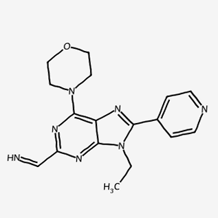 CCn1c(-c2ccncc2)nc2c(N3CCOCC3)nc(C=N)nc21